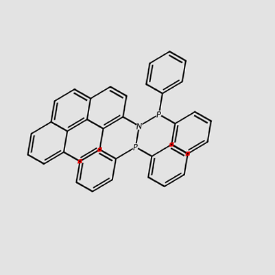 c1ccc(P(c2ccccc2)N(c2ccc3ccc4cccc5ccc2c3c45)P(c2ccccc2)c2ccccc2)cc1